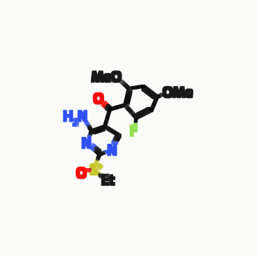 CC[S+]([O-])c1ncc(C(=O)c2c(F)cc(OC)cc2OC)c(N)n1